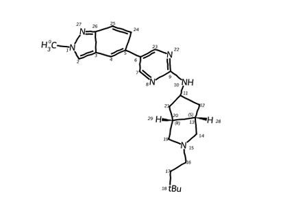 Cn1cc2cc(-c3cnc(NC4C[C@@H]5CN(CCC(C)(C)C)C[C@@H]5C4)nc3)ccc2n1